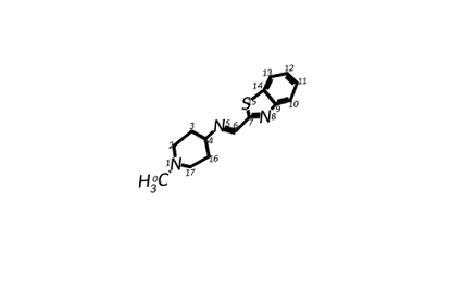 CN1CCC(N=Cc2nc3ccccc3s2)CC1